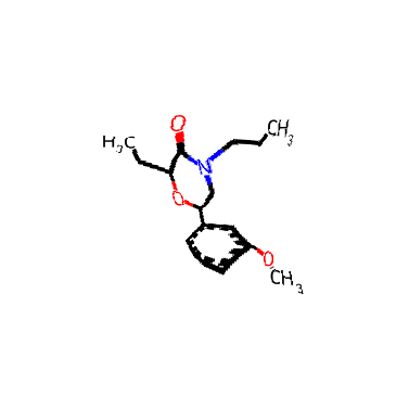 CCCN1CC(c2cccc(OC)c2)OC(CC)C1=O